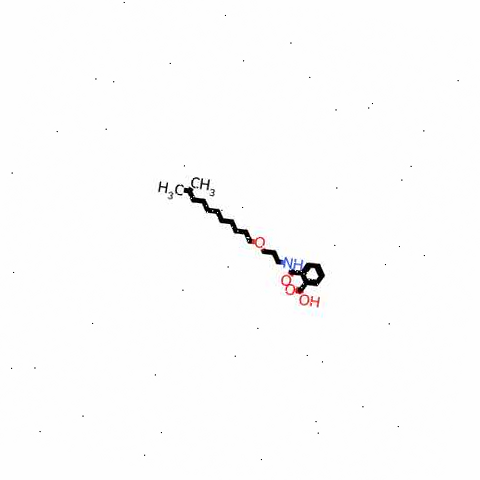 CC(C)CCCCCCCCCOCCCNC(=O)c1ccccc1C(=O)O